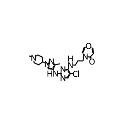 Cc1nn(C2CCN(C)CC2)cc1Nc1ncc(Cl)c(NCCCN2C=COC=CC2=O)n1